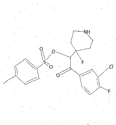 Cc1ccc(S(=O)(=O)OC(C(=O)c2ccc(F)c(Cl)c2)C2(F)CCNCC2)cc1